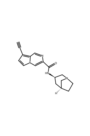 C#Cc1ccn2cc(C(=O)N[C@@H]3C[C@@H]4CCN(C4)C3)ncc12